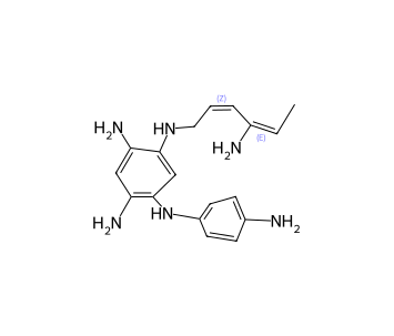 C/C=C(N)\C=C/CNc1cc(Nc2ccc(N)cc2)c(N)cc1N